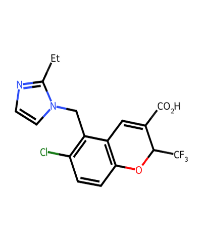 CCc1nccn1Cc1c(Cl)ccc2c1C=C(C(=O)O)C(C(F)(F)F)O2